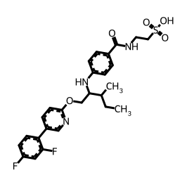 CCC(C)C(COc1ccc(-c2ccc(F)cc2F)cn1)Nc1ccc(C(=O)NCCS(=O)(=O)O)cc1